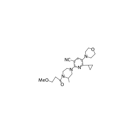 COCCC(=O)N1CCN(c2nc(C3CC3)c(N3CCOCC3)cc2C#N)CC1C